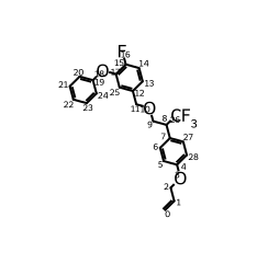 C=CCOc1ccc(C(COCc2ccc(F)c(Oc3ccccc3)c2)C(F)(F)F)cc1